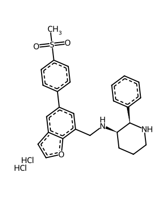 CS(=O)(=O)c1ccc(-c2cc(CN[C@@H]3CCCN[C@@H]3c3ccccc3)c3occc3c2)cc1.Cl.Cl